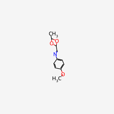 COc1ccc(/N=C/C2OC(C)O2)cc1